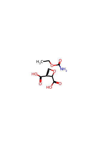 CCOC(N)=O.O=C(O)C1=COC1C(=O)O